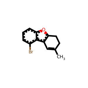 CC1=Cc2c(oc3cccc(Br)c23)CC1